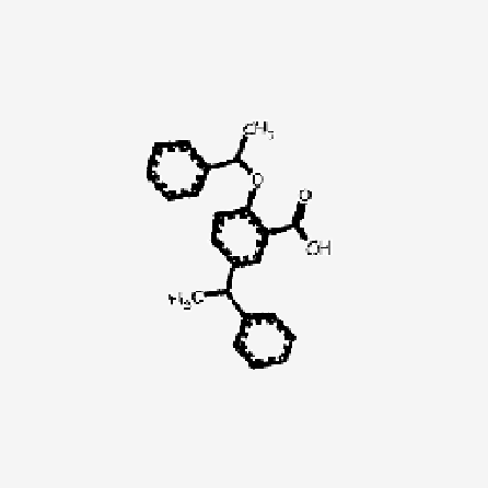 CC(Oc1ccc(C(C)c2ccccc2)cc1C(=O)O)c1ccccc1